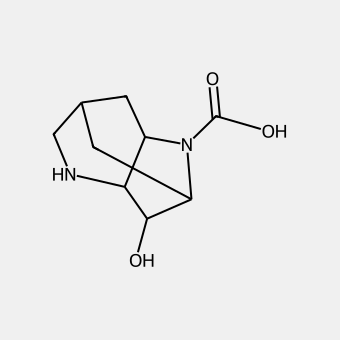 O=C(O)N1C2CC3CNC(C2O)C1C3